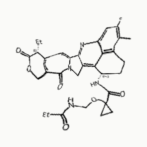 CCC(=O)NCOC1(C(=O)N[C@H]2CCc3c(C)c(F)cc4nc5c(c2c34)Cn2c-5cc3c(c2=O)COC(=O)[C@@H]3CC)CC1